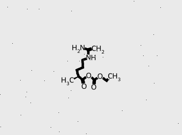 C=C(N)NCCC[C@H](C)C(=O)OC(=O)OCC